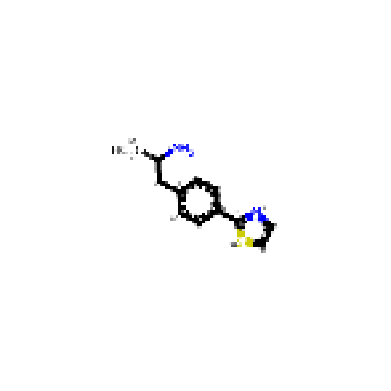 NC(Cc1ccc(-c2nccs2)cc1)C(=O)O